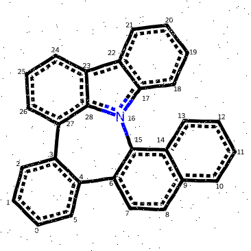 c1ccc2c(c1)-c1ccc3ccccc3c1-n1c3ccccc3c3cccc-2c31